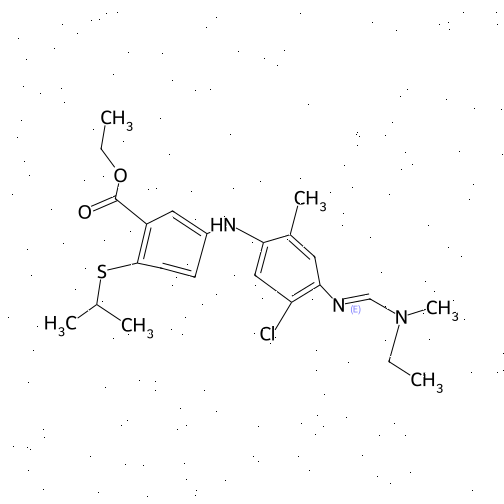 CCOC(=O)c1cc(Nc2cc(Cl)c(/N=C/N(C)CC)cc2C)ccc1SC(C)C